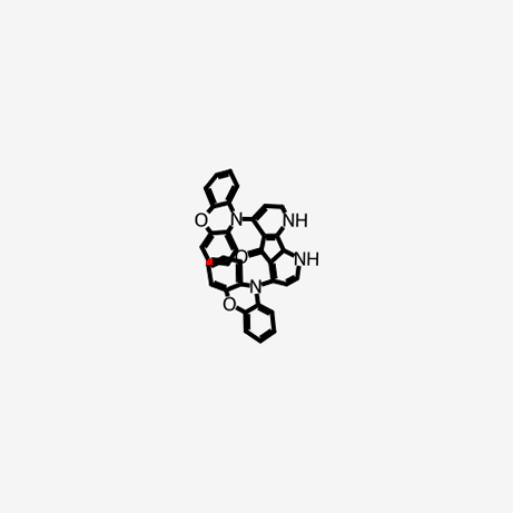 O=C1C2=C(NCC=C2N2c3ccccc3Oc3ccccc32)C2NC=CC(N3c4ccccc4Oc4ccccc43)=C12